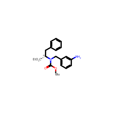 CCOC(=O)[C@H](Cc1ccccc1)N(Cc1cccc(N)c1)C(=O)OC(C)(C)C